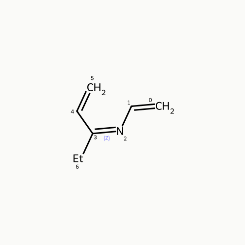 C=C/N=C(\C=C)CC